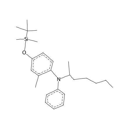 CCCCCC(C)N(c1ccccc1)c1ccc(O[Si](C)(C)C(C)(C)C)cc1C